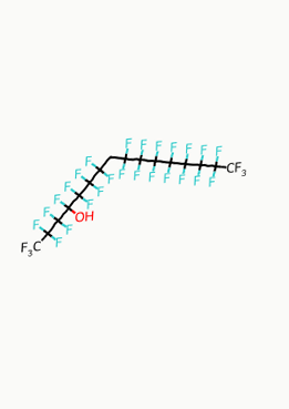 OC(F)(C(F)(F)C(F)(F)C(F)(F)F)C(F)(F)C(F)(F)C(F)(F)CC(F)(F)C(F)(F)C(F)(F)C(F)(F)C(F)(F)C(F)(F)C(F)(F)C(F)(F)F